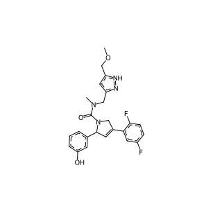 COCc1cc(CN(C)C(=O)N2CC(c3cc(F)ccc3F)=CC2c2cccc(O)c2)n[nH]1